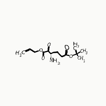 C=CCOC(=O)C(=O)[C@@H](N)CCC(=O)OC(C)(C)C